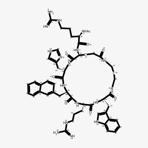 CC(=O)N[C@H](CCCNC(=N)N)C(=O)N[C@H]1CCC(=O)NCCCNC(=O)[C@H](Cc2c[nH]c3ccccc23)NC(=O)[C@H](CCCNC(=N)N)NC(=O)[C@@H](Cc2ccc3ccccc3c2)NC(=O)[C@H](Cc2c[nH]cn2)NC1=O